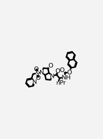 CCCC(NC(=O)Oc1ccc2ccccc2c1)C(=O)N1CCC2C1C(=O)CN2S(=O)(=O)Cc1ccccn1